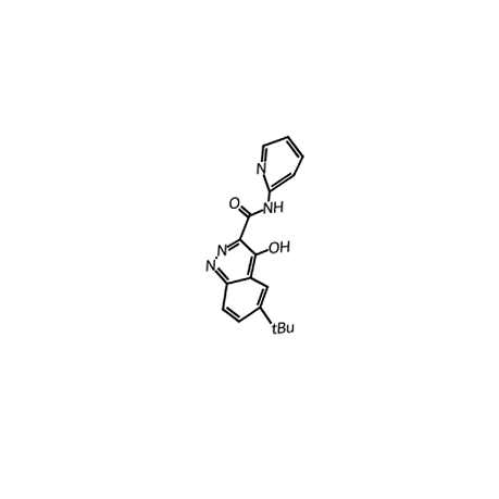 CC(C)(C)c1ccc2nnc(C(=O)Nc3ccccn3)c(O)c2c1